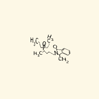 C=C1c2ccccc2C(=O)N1CCCC(C)P(=O)(CCC)CCC